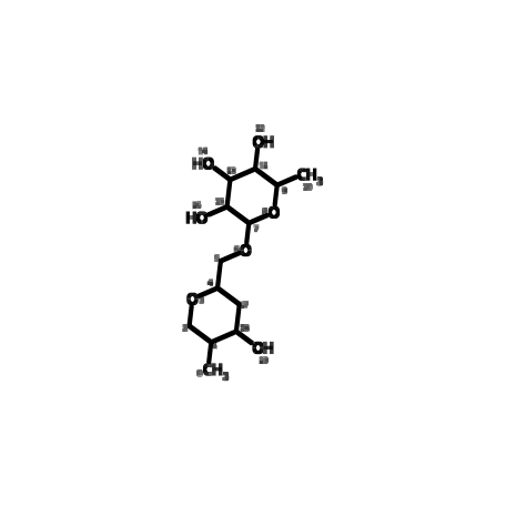 CC1COC(COC2OC(C)C(O)C(O)C2O)CC1O